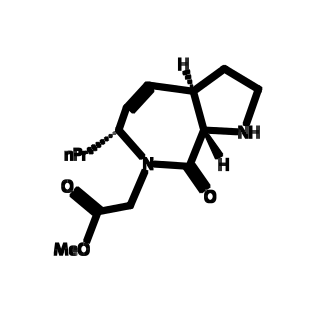 CCC[C@@H]1C=C[C@H]2CCN[C@@H]2C(=O)N1CC(=O)OC